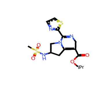 CC(C)OC(=O)C1=C2CC(NS(C)(=O)=O)CN2C(c2nccs2)=NC1